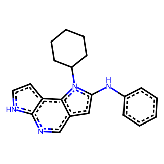 c1ccc(Nc2cc3cnc4[nH]ccc4c3n2C2CCCCC2)cc1